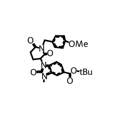 COc1ccc(CN2C(=O)CCC(n3c(=O)n(C)c4cc(C(=O)OC(C)(C)C)ccc43)C2=O)cc1